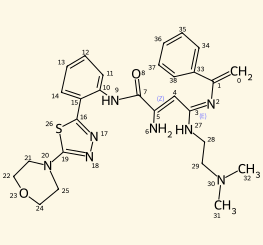 C=C(/N=C(\C=C(/N)C(=O)Nc1ccccc1-c1nnc(N2CCOCC2)s1)NCCN(C)C)c1ccccc1